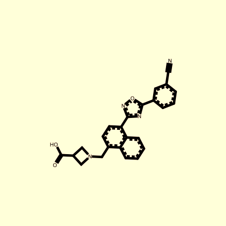 N#Cc1cccc(-c2nc(-c3ccc(CN4CC(C(=O)O)C4)c4ccccc34)no2)c1